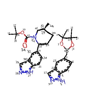 CC1(C)OB(c2ccc3[nH]ncc3c2)OC1(C)C.C[C@H]1CC=C(c2ccc3[nH]ncc3c2)N(C(=O)OC(C)(C)C)C1